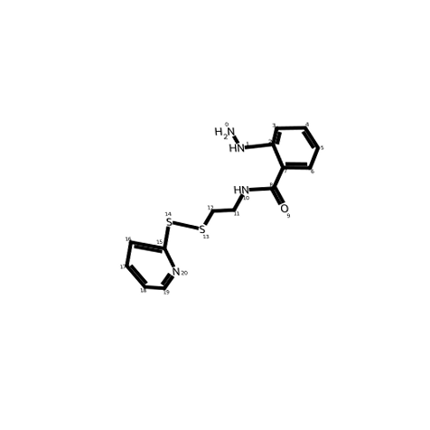 NNc1ccccc1C(=O)NCCSSc1ccccn1